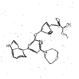 CN(C)C(=O)c1ccc(Oc2nc(-c3cccc4[nH]ccc34)nc(N3CCOCC3)n2)cc1